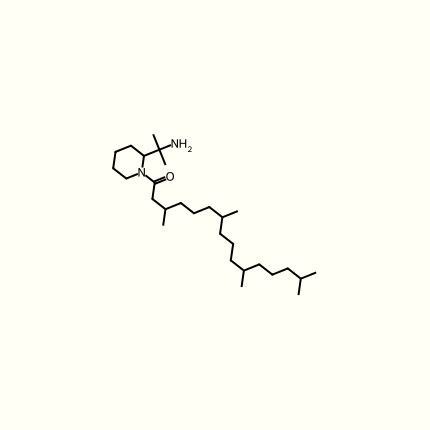 CC(C)CCCC(C)CCCC(C)CCCC(C)CC(=O)N1CCCCC1C(C)(C)N